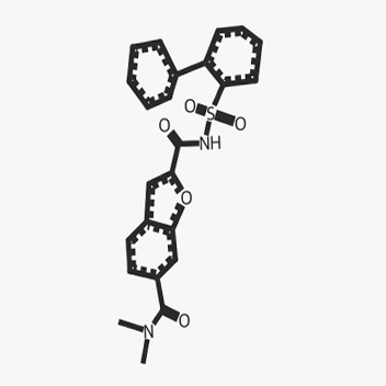 CN(C)C(=O)c1ccc2cc(C(=O)NS(=O)(=O)c3ccccc3-c3ccccc3)oc2c1